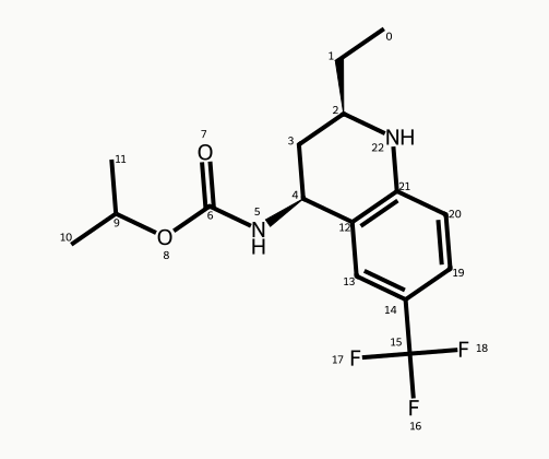 CC[C@@H]1C[C@H](NC(=O)OC(C)C)c2cc(C(F)(F)F)ccc2N1